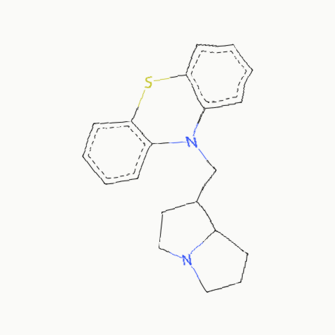 c1ccc2c(c1)Sc1ccccc1N2CC1CCN2CCCC12